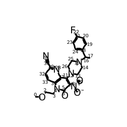 COCCn1c(=O)c([N+](=O)[O-])c(N2CCN(C(C)c3ccc(F)cc3)CC2)c2nc(C#N)ccc21